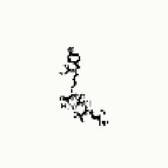 CCC(=O)N(CCCC[C@H](NC(=O)N[C@@H](CCC(=O)O)C(C)=O)C(=O)O)Cc1ccc(Br)cc1